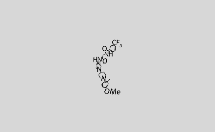 COc1ccc(N2CCC(N3CC[C@@H](NC(=O)CNC(=O)c4cccc(C(F)(F)F)c4)C3)CC2)c(C)c1